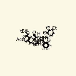 CCN1CCN(C(=O)NC(C(=O)N[C@H]2C(=O)N3C(C(=O)OC(C)(C)C)=C(COC(C)=O)C[S+]([O-])C23NC=O)c2ccccc2)C(=O)C1=O